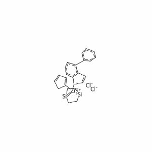 C1=CC[C]([Zr+2]2([CH]3C=Cc4c(-c5ccccc5)cccc43)=[Si]3CC[Si]=2CC3)=C1.[Cl-].[Cl-]